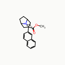 COC(=O)C1(c2ccc3ccccc3c2)CC2CCC(C1)N2C